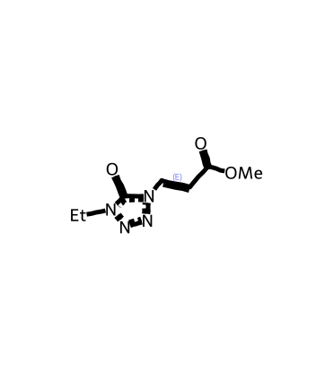 CCn1nnn(/C=C/C(=O)OC)c1=O